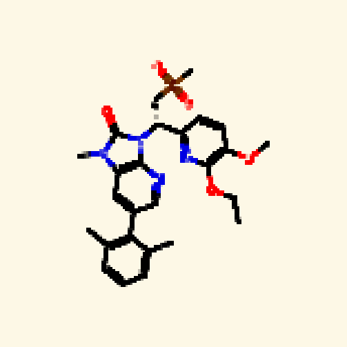 CCOc1nc([C@@H](CS(C)(=O)=O)n2c(=O)n(C)c3cc(-c4c(C)cccc4C)cnc32)ccc1OC